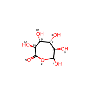 O=C1OC(O)[C@H](O)[C@@H](O)[C@@H](O)[C@@H]1O